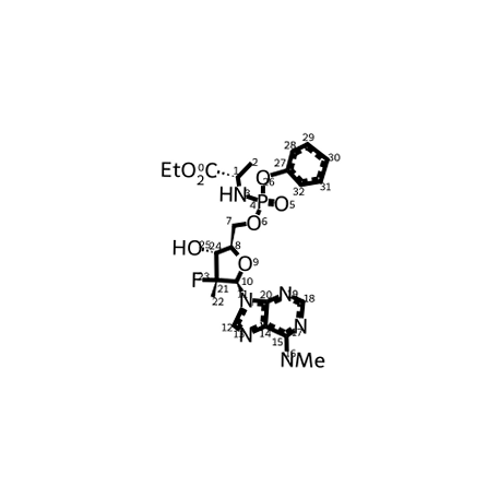 CCOC(=O)[C@H](C)NP(=O)(OC[C@H]1O[C@@H](n2cnc3c(NC)ncnc32)[C@](C)(F)[C@@H]1O)Oc1ccccc1